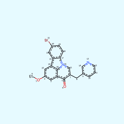 CCOc1cc2c(=O)c(Cc3cccnc3)cn3c4ccc(Br)cc4c(c1)c23